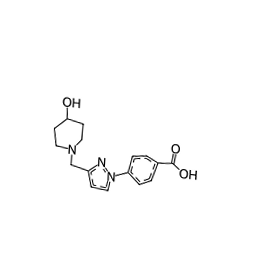 O=C(O)c1ccc(-n2ccc(CN3CCC(O)CC3)n2)cc1